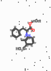 CCCCCCCCOC(=O)C(N)Cc1ccccc1.Cc1ccccc1S(=O)(=O)O